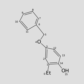 CCc1cc(OCc2ccccc2)ccc1O